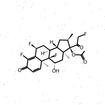 CC(=O)O[C@]1(C(=O)CF)[C@H](C)C[C@H]2[C@@H]3C[C@H](F)C4=C(F)C(=O)C=C[C@]4(C)[C@@]3(F)[C@@H](O)C[C@@]21C